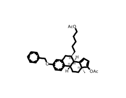 CC(=O)OCCCCC[C@@H]1Cc2cc(OCc3ccccc3)ccc2[C@H]2CC[C@]3(C)C(OC(C)=O)=CC=C3[C@H]12